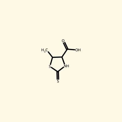 CC1SC(=S)NC1C(=O)O